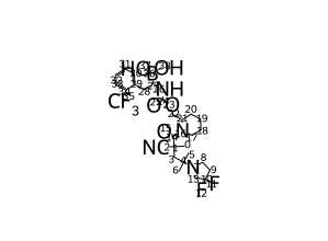 CC(C#N)(CC(C)(C)N1CCC(F)(F)C1)C(=O)N1CCCC[C@@H]1COC(=O)N[C@@H](Cc1ccccc1C(F)(F)F)B(O)O